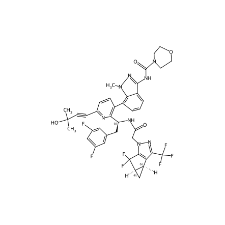 Cn1nc(NC(=O)N2CCOCC2)c2cccc(-c3ccc(C#CC(C)(C)O)nc3[C@H](Cc3cc(F)cc(F)c3)NC(=O)Cn3nc(C(F)(F)F)c4c3C(F)(F)[C@@H]3C[C@H]43)c21